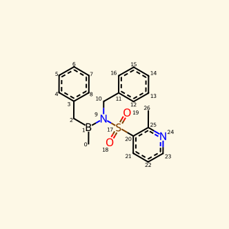 CB(Cc1ccccc1)N(Cc1ccccc1)S(=O)(=O)c1cccnc1C